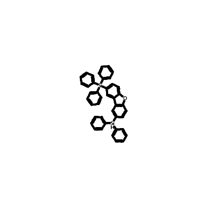 c1ccc([SiH](c2ccccc2)c2ccc3oc4ccc([Si](c5ccccc5)(c5ccccc5)c5ccccc5)cc4c3c2)cc1